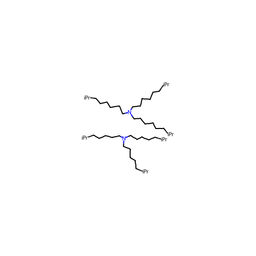 CC(C)CCCCCCN(CCCCCCC(C)C)CCCCCCC(C)C.CC(C)CCCCCN(CCCCCC(C)C)CCCCCC(C)C